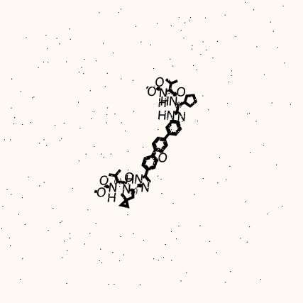 COC(=O)N[C@H](C(=O)N[C@H](c1nc2ccc(-c3ccc4c(c3)oc3cc(C5CN=C([C@@H]6CC7(CC7)CN6C(=O)[C@@H](NC(=O)OC)C(C)C)N5)ccc34)cc2[nH]1)C1CCCC1)C(C)C